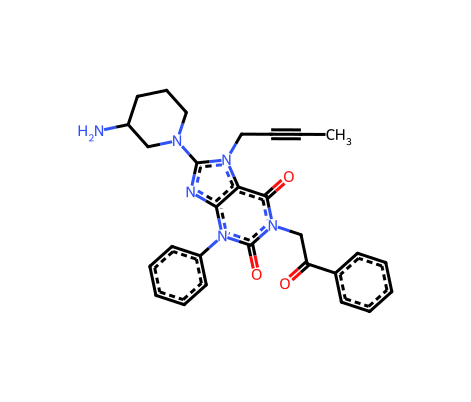 CC#CCn1c(N2CCCC(N)C2)nc2c1c(=O)n(CC(=O)c1ccccc1)c(=O)n2-c1ccccc1